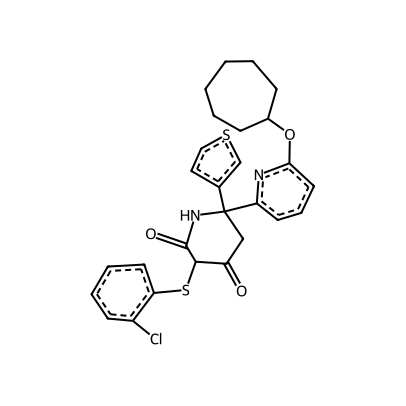 O=C1CC(c2ccsc2)(c2cccc(OC3CCCCCC3)n2)NC(=O)C1Sc1ccccc1Cl